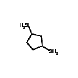 [SiH3]C1CCC([SiH3])C1